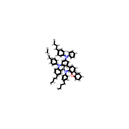 CCCCc1ccc(N2B3c4cc(CCCC)ccc4N(c4ccc(CCCC)cc4)c4cc(N(c5ccccc5)c5ccc(CCCC)cc5)cc(c43)-c3ccc4c(oc5ccccc54)c32)cc1